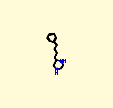 c1ccc(CCCCC2CNCCN2)cc1